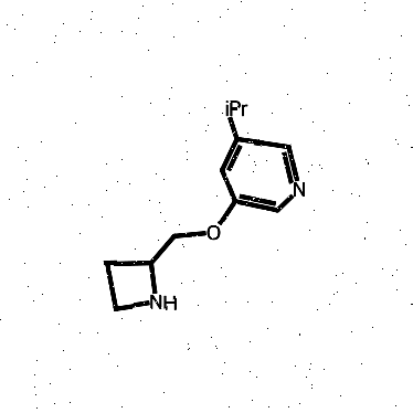 CC(C)c1cncc(OCC2CCN2)c1